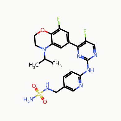 CC(C)N1CCOc2c(F)cc(-c3nc(Nc4ccc(CNS(N)(=O)=O)cn4)ncc3F)cc21